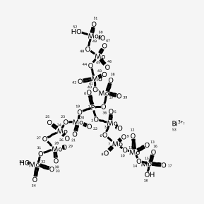 O=P([O][Mo](=[O])(=[O])[O][Mo](=[O])(=[O])[O][Mo](=[O])(=[O])[O][Mo](=[O])(=[O])[OH])([O][Mo](=[O])(=[O])[O][Mo](=[O])(=[O])[O][Mo](=[O])(=[O])[O][Mo](=[O])(=[O])[OH])[O][Mo](=[O])(=[O])[O][Mo](=[O])(=[O])[O][Mo](=[O])(=[O])[O][Mo](=[O])(=[O])[OH].[Bi+3]